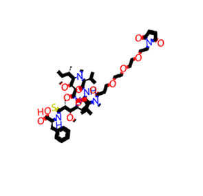 CC[C@H](C)[C@@H]([C@@H](CC(=O)N1CCC[C@H]1[C@H](OC)[C@@H](C)C(=S)N[C@@H](Cc1ccccc1)C(=O)O)OC)N(C)[C@H](C(=O)NC(=O)[C@H](C(C)C)N(C)C(=O)CCOCCOCCOCCN1C(=O)C=CC1=O)C(C)C